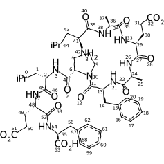 CC(C)C[C@H](NC(=O)[C@@H]1CCCN1C(=O)[C@H](Cc1ccccc1)NC(=O)[C@H](C)NC(=O)[C@H](CCC(=O)O)NC(=O)[C@H](C)NC(=O)[C@@H](N)CC(C)C)C(=O)N[C@@H](CCC(=O)O)C(=O)N[C@@H](Cc1ccccc1)C(=O)O